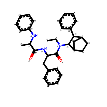 CCN(C(=O)C(Cc1ccccc1)NC(=O)C(C)Nc1ccccc1)C1C2CCC(C2)C1c1ccccc1